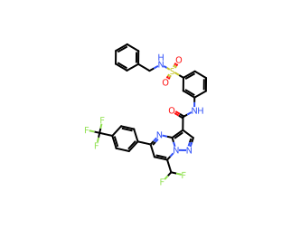 O=C(Nc1cccc(S(=O)(=O)NCc2ccccc2)c1)c1cnn2c(C(F)F)cc(-c3ccc(C(F)(F)F)cc3)nc12